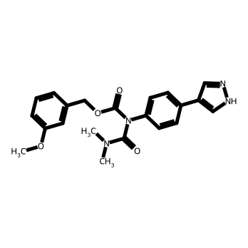 COc1cccc(COC(=O)N(C(=O)N(C)C)c2ccc(-c3cn[nH]c3)cc2)c1